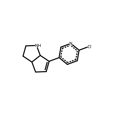 Clc1ccc(C2=CCC3CCNC23)cn1